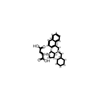 O=C(O)C=CC(=O)O.c1ccc2c(CN(CC3CCCCC3)[C@H]3CCNC3)cccc2c1